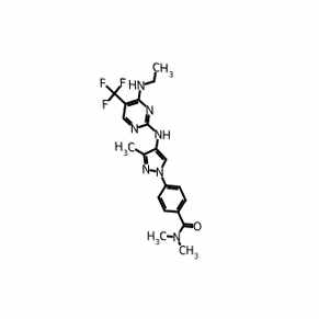 CCNc1nc(Nc2cn(-c3ccc(C(=O)N(C)C)cc3)nc2C)ncc1C(F)(F)F